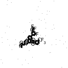 CN(C)C(=O)CN1CCN2c3ccc(-c4cc(F)cc(OC(F)F)c4)cc3N(S(=O)(=O)c3cccc(C(F)(F)F)c3)CC2C1